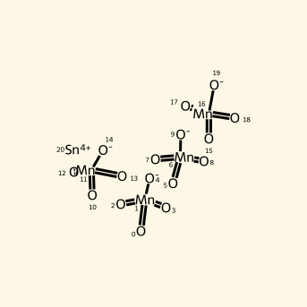 [O]=[Mn](=[O])(=[O])[O-].[O]=[Mn](=[O])(=[O])[O-].[O]=[Mn](=[O])(=[O])[O-].[O]=[Mn](=[O])(=[O])[O-].[Sn+4]